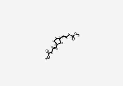 COC(=O)C/C=C/C1CCC(/C=C/CC(=O)OC)C1